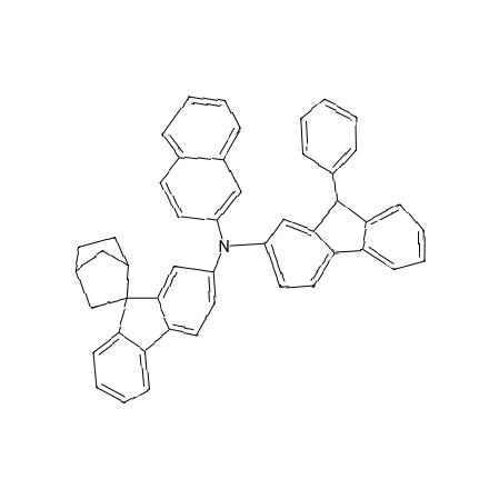 c1ccc(C2c3ccccc3-c3ccc(N(c4ccc5c(c4)C4(CC6CCC4C6)c4ccccc4-5)c4ccc5ccccc5c4)cc32)cc1